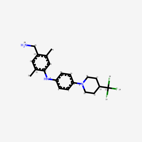 Cc1cc(Nc2ccc(N3CCC(C(F)(F)F)CC3)cc2)c(C)cc1CN